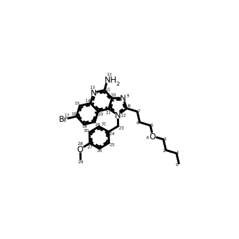 CCCCOCCCc1nc2c(N)nc3cc(Br)ccc3c2n1Cc1ccc(OC)cc1